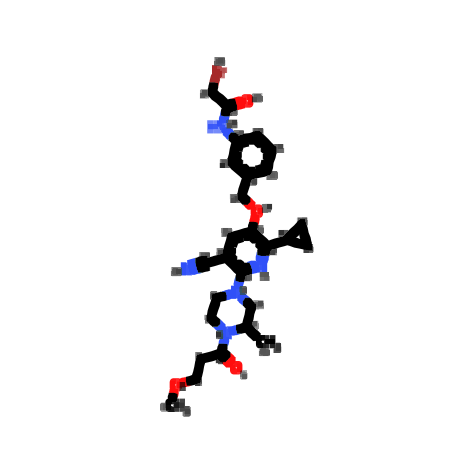 COCCC(=O)N1CCN(c2nc(C3CC3)c(OCc3cccc(NC(=O)CBr)c3)cc2C#N)CC1C